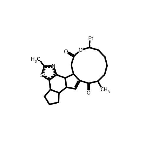 CCC1CCCCC(C)C(=O)C2=CC3C4CCCC4c4sc(C)nc4C3C2CC(=O)O1